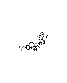 CC(Nc1nccc(N2C(=O)OC[C@@H]2C(C)F)n1)c1ncn2c1CCCc1cc(C(F)(F)F)ccc1-2